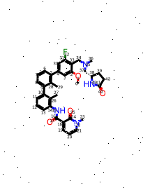 COc1cc(-c2cccc(-c3cccc(NC(=O)c4cccn(C)c4=O)c3C)c2C)cc(F)c1CN(C)C[C@@H]1CCC(=O)N1